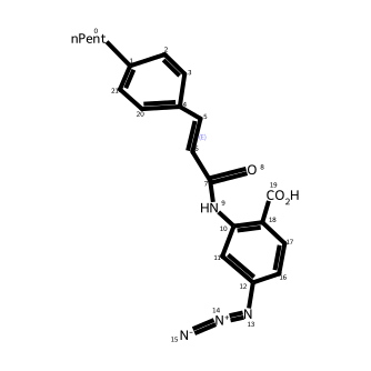 CCCCCc1ccc(/C=C/C(=O)Nc2cc(N=[N+]=[N-])ccc2C(=O)O)cc1